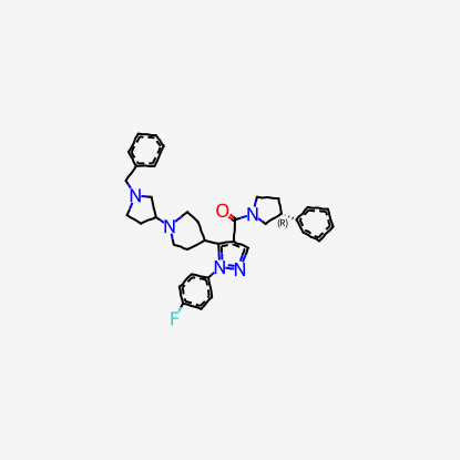 O=C(c1cnn(-c2ccc(F)cc2)c1C1CCN(C2CCN(Cc3ccccc3)C2)CC1)N1CC[C@H](c2ccccc2)C1